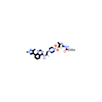 COC(=O)Nc1nc(C)c(S(=O)(=O)N2CCN(C[C@H](C)Nc3ncnc4c(-c5cn(C)nc5C)cccc34)CC2)s1